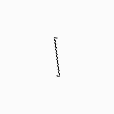 OC=CC=CC=CCCCCCCCCCCCCCCCCO